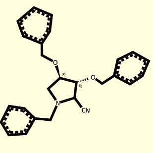 N#CC1[C@@H](OCc2ccccc2)[C@H](OCc2ccccc2)CN1Cc1ccccc1